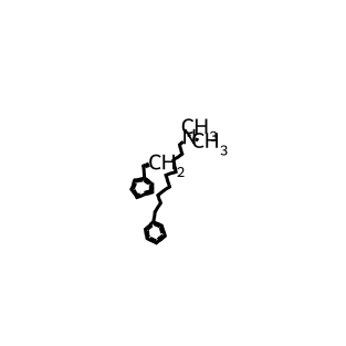 C=Cc1ccccc1.CN(C)CCCCCCCCCc1ccccc1